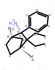 CCC1(CC)[C@H]2CC[C@H](C2)[C@@]1(N)c1ccccc1